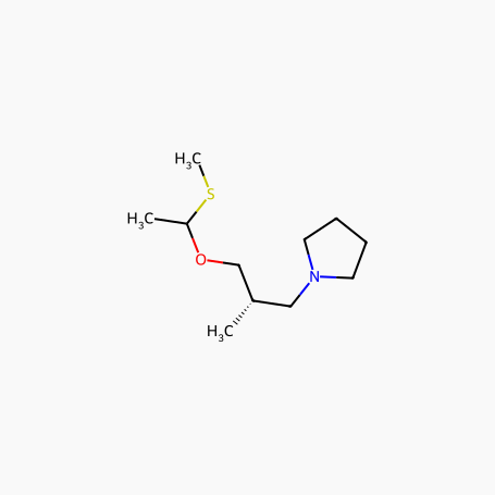 CSC(C)OC[C@@H](C)CN1CCCC1